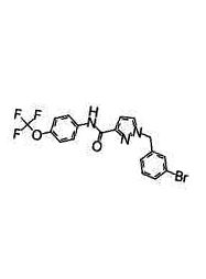 O=C(Nc1ccc(OC(F)(F)F)cc1)c1ccn(Cc2cccc(Br)c2)n1